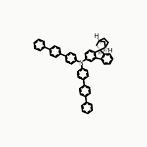 c1ccc(-c2ccc(-c3ccc(N(c4ccc(-c5ccc(-c6ccccc6)cc5)cc4)c4ccc5c(c4)-c4ccccc4[C@@]54C[C@H]5CC[C@@H]4C5)cc3)cc2)cc1